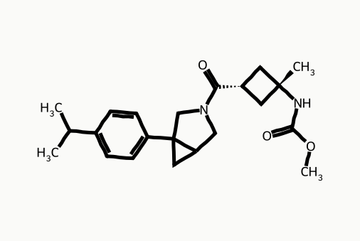 COC(=O)N[C@]1(C)C[C@H](C(=O)N2CC3CC3(c3ccc(C(C)C)cc3)C2)C1